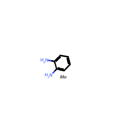 Nc1ccccc1N.[Mn]